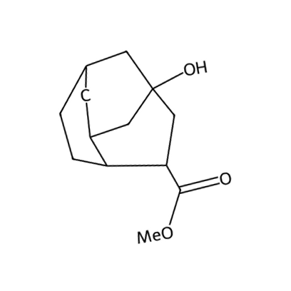 COC(=O)C1CC2(O)CC3CCC1C(C3)C2